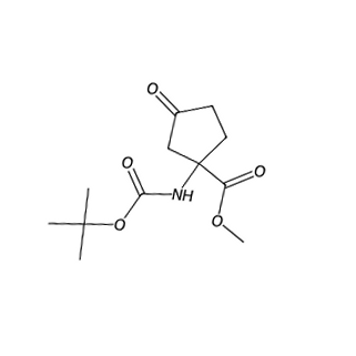 COC(=O)C1(NC(=O)OC(C)(C)C)CCC(=O)C1